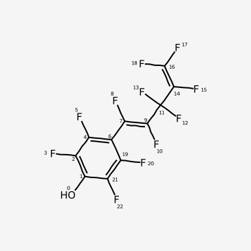 Oc1c(F)c(F)c(C(F)=C(F)C(F)(F)C(F)=C(F)F)c(F)c1F